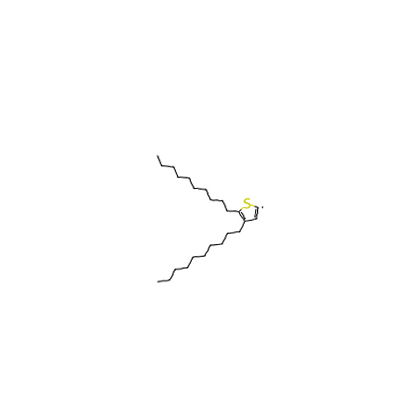 CCCCCCCCCCc1c[c]sc1CCCCCCCCCC